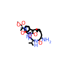 COC(=O)[C@@H]1COC(c2nc3oc2[C@@]24c5ccccc5NC2Oc2ccc(cc24)C[C@H](N)C(=O)N[C@H]3C(C)C)=N1